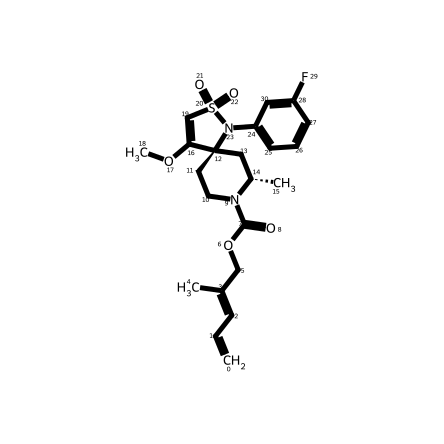 C=C/C=C(\C)COC(=O)N1CC[C@@]2(C[C@@H]1C)C(OC)=CS(=O)(=O)N2c1cccc(F)c1